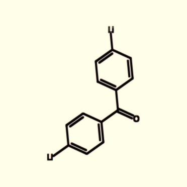 [Li][c]1ccc(C(=O)c2cc[c]([Li])cc2)cc1